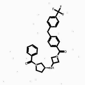 O=C(c1ccc(Cc2ccc(C(F)(F)F)cc2)cc1)N1CC(N[C@H]2CCN(C(=O)c3ccccc3)C2)C1